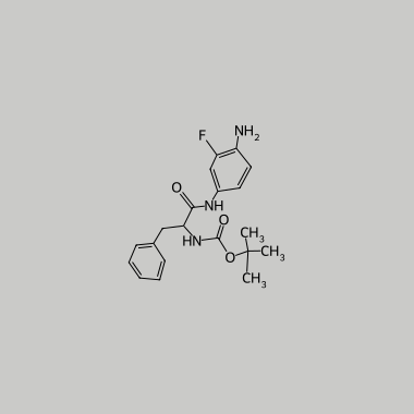 CC(C)(C)OC(=O)NC(Cc1ccccc1)C(=O)Nc1ccc(N)c(F)c1